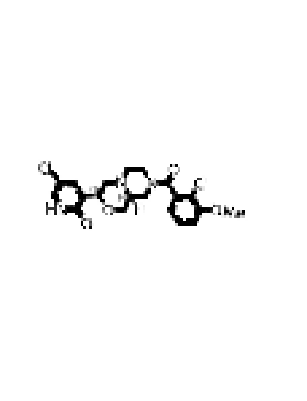 COc1cccc(C(=O)N2CCN3C[C@H](c4cc(Cl)c[nH]c4=O)OC[C@@H]3C2)c1Cl